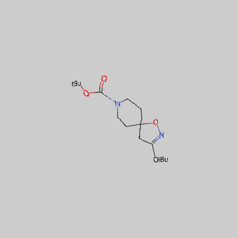 CC(C)COC1=NOC2(CCN(C(=O)OC(C)(C)C)CC2)C1